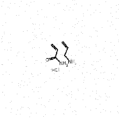 C=CC(N)=O.C=CCN.Cl